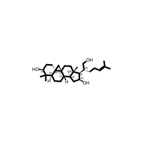 CC(C)=CCC[C@@H](CO)[C@H]1[C@@H](O)C[C@@]2(C)[C@@H]3CC[C@H]4C(C)(C)[C@@H](O)CC[C@@]45C[C@@]35CC[C@]12C